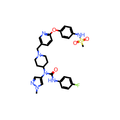 Cn1cc(N(C(=O)Nc2ccc(F)cc2)C2CCN(Cc3ccc(Oc4ccc(NS(C)(=O)=O)cc4)nc3)CC2)cn1